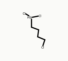 ClCCCC[SiH](Cl)Cl